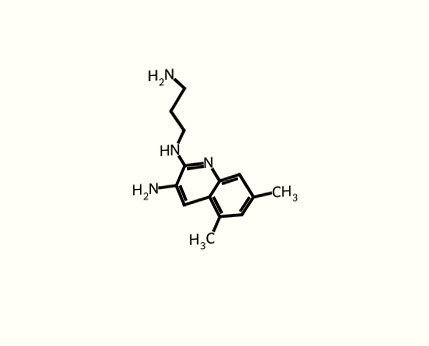 Cc1cc(C)c2cc(N)c(NCCCN)nc2c1